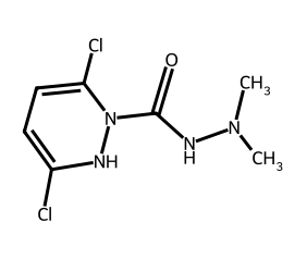 CN(C)NC(=O)N1NC(Cl)=CC=C1Cl